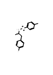 Cc1ccc(S(=O)(=O)NC(C)Cc2ccc(F)cc2)cc1